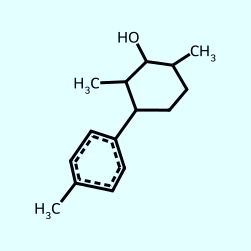 Cc1ccc(C2CCC(C)C(O)C2C)cc1